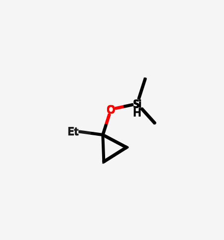 CCC1(O[SiH](C)C)CC1